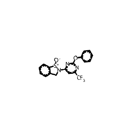 [O-][S+]1c2ccccc2CN1c1cc(C(F)(F)F)nc(Oc2ccccc2)n1